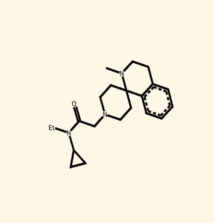 CCN(C(=O)CN1CCC2(CC1)c1ccccc1CCN2C)C1CC1